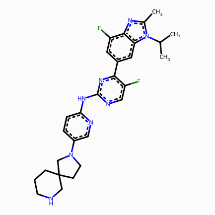 Cc1nc2c(F)cc(-c3nc(Nc4ccc(N5CCC6(CCCNC6)C5)cn4)ncc3F)cc2n1C(C)C